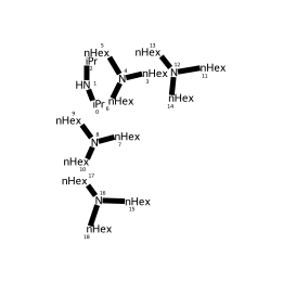 CC(C)NC(C)C.CCCCCCN(CCCCCC)CCCCCC.CCCCCCN(CCCCCC)CCCCCC.CCCCCCN(CCCCCC)CCCCCC.CCCCCCN(CCCCCC)CCCCCC